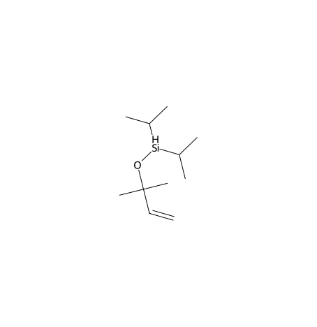 C=CC(C)(C)O[SiH](C(C)C)C(C)C